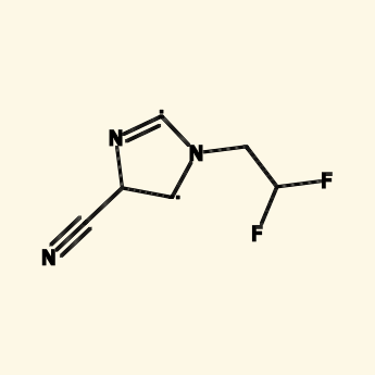 N#CC1[CH]N(CC(F)F)[C]=N1